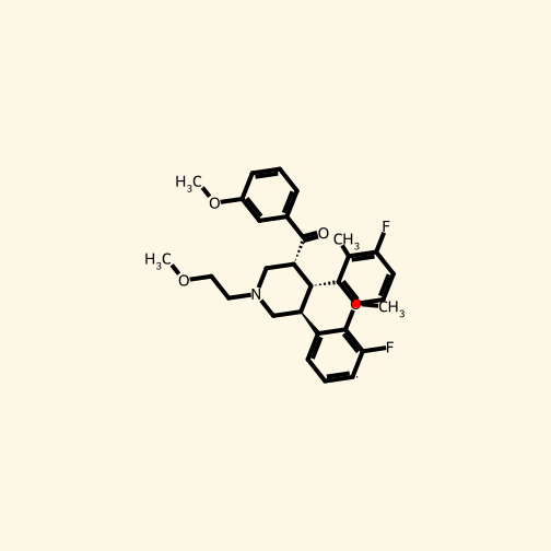 COCCN1C[C@H](C(=O)c2cccc(OC)c2)[C@H](c2cccc(F)c2C)[C@@H](c2cc[c]c(F)c2OC)C1